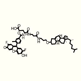 Cc1cc(C(=O)NC(CCC(=O)O)C(=O)NCCC(=O)NCCCOC2CC[C@@]3(C)C(=CC[C@H]4[C@@H]5CC[C@H]([C@H](C)CCCC(C)C)[C@@]5(C)CC[C@@H]43)C2)ccc1-c1c2cc(F)c(=O)cc-2oc2cc(O)c(F)cc12